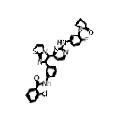 O=C(Nc1cccc(-c2nc3sccn3c2-c2ccnc(Nc3ccc(F)c(N4CCCC4=O)c3)n2)c1)c1ccccc1Cl